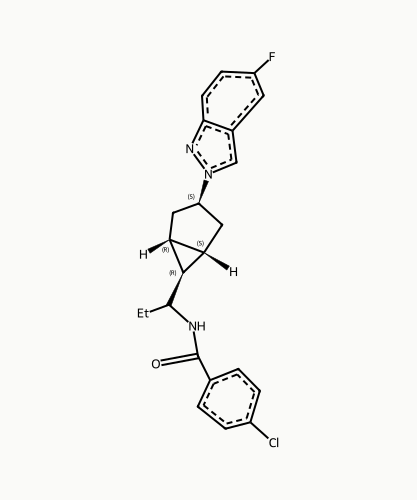 CCC(NC(=O)c1ccc(Cl)cc1)[C@H]1[C@@H]2C[C@@H](n3cc4cc(F)ccc4n3)C[C@@H]21